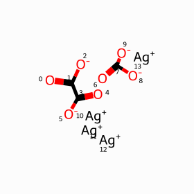 O=C([O-])C(=O)[O-].O=C([O-])[O-].[Ag+].[Ag+].[Ag+].[Ag+]